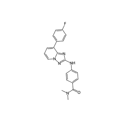 CN(C)C(=O)c1ccc(Nc2nc3c(-c4ccc(F)cc4)cccn3n2)cc1